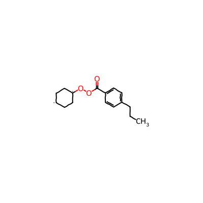 CCCc1ccc(C(=O)OO[C]2CC[CH]CC2)cc1